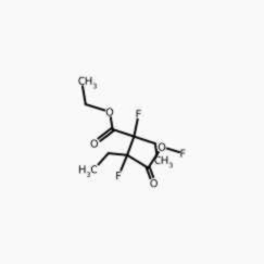 CCOC(=O)C(F)(CC)C(F)(CC)C(=O)OF